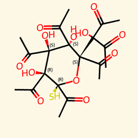 CC(=O)C(O)(C(C)=O)[C@@]1(C(C)=O)O[C@](S)(C(C)=O)[C@](O)(C(C)=O)[C@](O)(C(C)=O)[C@@]1(O)C(C)=O